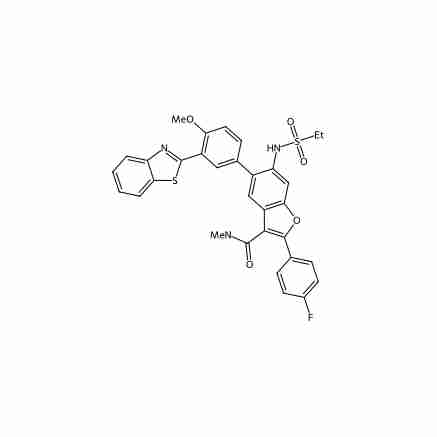 CCS(=O)(=O)Nc1cc2oc(-c3ccc(F)cc3)c(C(=O)NC)c2cc1-c1ccc(OC)c(-c2nc3ccccc3s2)c1